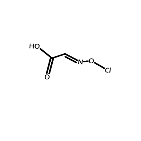 O=C(O)C=NOCl